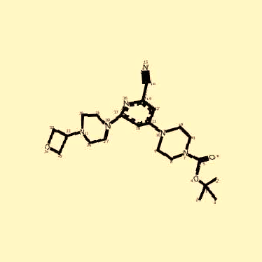 CC(C)(C)OC(=O)N1CCN(c2cc(C#N)nc(N3CCN(C4COC4)CC3)c2)CC1